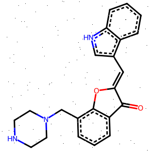 O=C1/C(=C/c2c[nH]c3ccccc23)Oc2c(CN3CCNCC3)cccc21